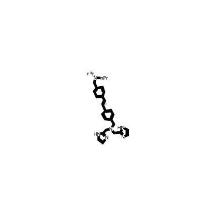 CCCN(CCC)Cc1ccc(/C=C/c2ccc(CN(Cc3ncc[nH]3)Cc3ncc[nH]3)cc2)cc1